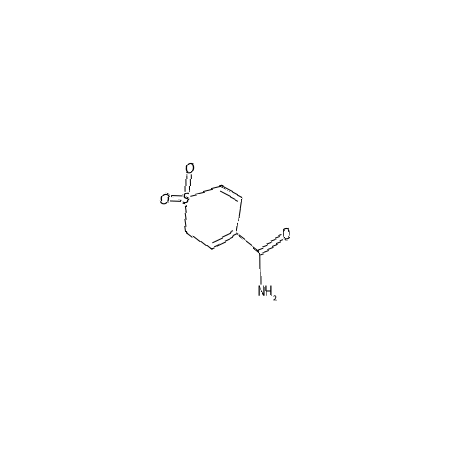 NC(=O)C1=CCS(=O)(=O)C=C1